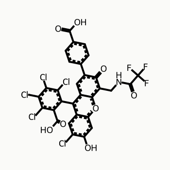 O=C(O)c1ccc(-c2cc3c(-c4c(Cl)c(Cl)c(Cl)c(Cl)c4C(=O)O)c4cc(Cl)c(O)cc4oc-3c(CNC(=O)C(F)(F)F)c2=O)cc1